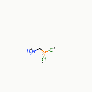 NCP(Cl)Cl